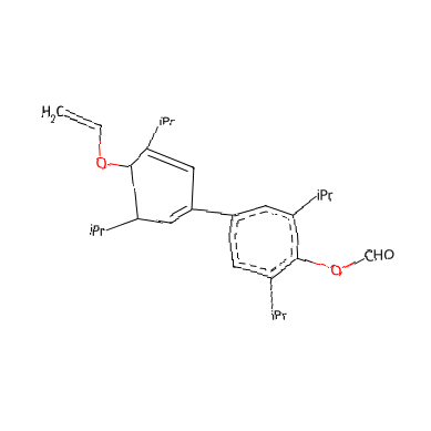 C=COC1C(C(C)C)=CC(c2cc(C(C)C)c(OC=O)c(C(C)C)c2)=CC1C(C)C